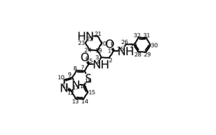 O=C(CC(NC(=O)C1=Cc2cnc3cccc(n23)S1)C1CCNCC1)NCc1ccccc1